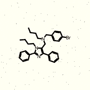 CCCCN(Cc1ccc(Br)cc1)Cc1c(-c2ccccc2)nc(-c2ccccc2)n1CCCC